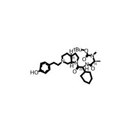 C[C@@H](C(=O)N[C@H](C(=O)N1CC[C@H]2CCN(CCc3ccc(O)cc3)C[C@H]21)C1CCCCC1)N(C)C(=O)OC(C)(C)C